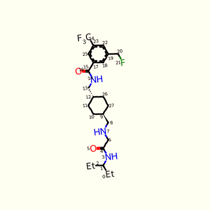 CCC(CC)NC(=O)CNC[C@H]1CC[C@H](CNC(=O)c2cc(CF)cc(C(F)(F)F)c2)CC1